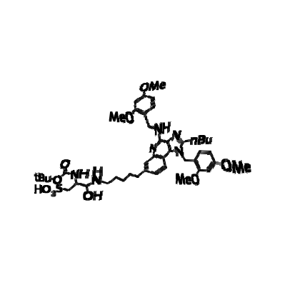 CCCCc1nc2c(NCc3ccc(OC)cc3OC)nc3cc(CCCCCNC(O)C(CS(=O)(=O)O)NC(=O)OC(C)(C)C)ccc3c2n1Cc1ccc(OC)cc1OC